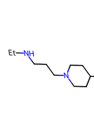 CCNCCCN1CCC(C)CC1